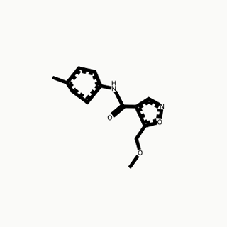 COCc1oncc1C(=O)Nc1ccc(C)cc1